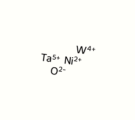 [Ni+2].[O-2].[Ta+5].[W+4]